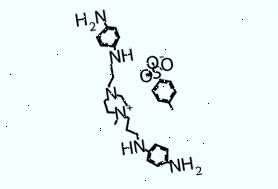 C[N+]1(CCCNc2ccc(N)cc2)CCN(CCCNc2ccc(N)cc2)CC1.Cc1ccc(S(=O)(=O)[O-])cc1